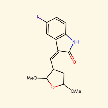 COC1CC(C=C2C(=O)Nc3ccc(I)cc32)C(OC)O1